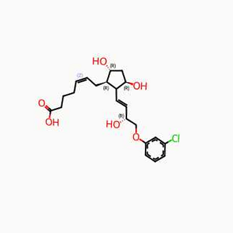 O=C(O)CCC/C=C\C[C@@H]1C(C=C[C@@H](O)COc2cccc(Cl)c2)[C@H](O)C[C@H]1O